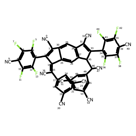 N#CC1=C(c2c(F)c(F)c(C#N)c(F)c2F)/C(=C(\C#N)c2cc(C#N)cc(C#N)c2)c2cc3c(cc21)C(C#N)=C(c1c(F)c(F)c(C#N)c(F)c1F)C3C(C#N)c1cc(C#N)cc(C#N)c1